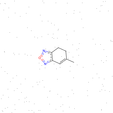 CC1=Cc2nonc2CC1